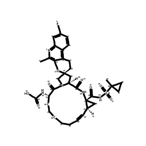 Cc1nc2cc(F)ccc2c2c1O[C@]1(CC2)C[C@H]2C(=O)N[C@]3(C(=O)NS(=O)(=O)C4(C)CC4)C[C@H]3/C=C\CCCCC[C@H](NC(=O)O)C(=O)N2C1